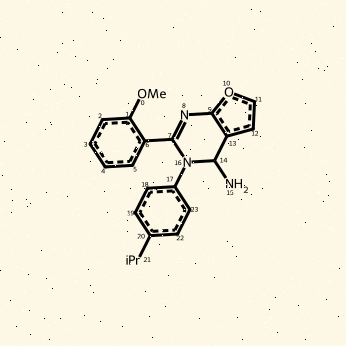 COc1ccccc1C1=Nc2occc2C(N)N1c1ccc(C(C)C)cc1